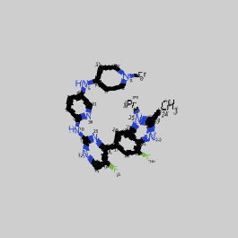 CCN1CCC(Nc2ccc(Nc3ncc(F)c(-c4cc(F)c5nc(C)n(C(C)C)c5c4)n3)nc2)CC1